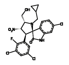 O=C1Nc2cc(Cl)ccc2[C@@]12[C@@H](c1cc(Cl)cc(Cl)c1F)[C@H]([N+](=O)[O-])[C@H](CO)N2CC1CC1